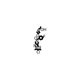 Cc1nc2c3c(nn2c(C)c1Cl)CN(C(=O)c1ccc(F)cc1OC1CN(CC(C)O)C1)C3